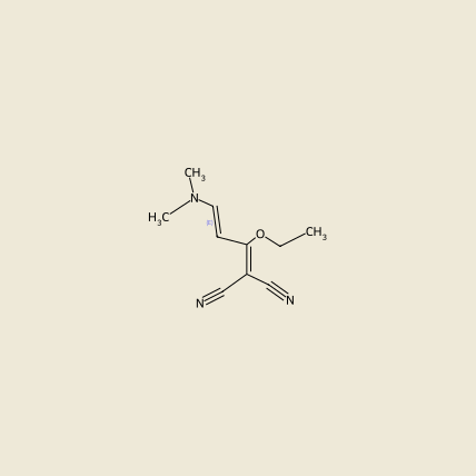 CCOC(/C=C/N(C)C)=C(C#N)C#N